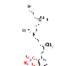 CC(C)CCC[C@@H](C)CCC[C@@H](C)CCCC(C)CCc1ccccc1OP(=O)(O)O